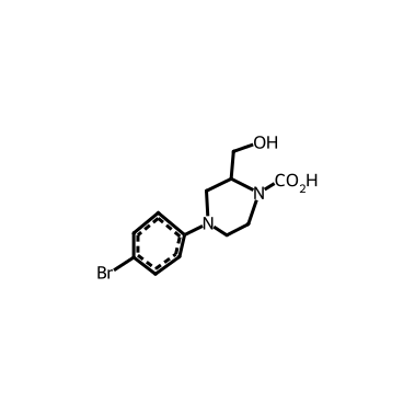 O=C(O)N1CCN(c2ccc(Br)cc2)CC1CO